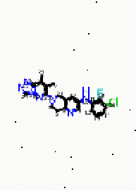 Cc1c(N2CCc3ncc(Nc4cccc(Cl)c4F)cc3C2)nn2cnnc2c1C